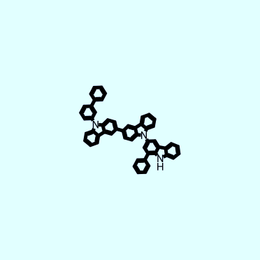 c1ccc(-c2cccc(-n3c4ccccc4c4cc(-c5ccc6c(c5)c5ccccc5n6-c5cc(-c6ccccc6)c6[nH]c7ccccc7c6c5)ccc43)c2)cc1